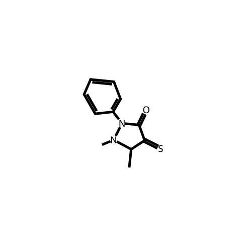 CC1C(=S)C(=O)N(c2ccccc2)N1C